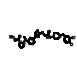 CN(c1cccc(-c2csc(SCC(=O)NC3CCN(Cc4ccc(Cl)c(Cl)c4)CC3)n2)c1)[C@H]1CCCN1C(=O)OC(C)(C)C